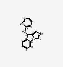 c1ccc(OC2c3ccccc3-n3cncc32)nc1